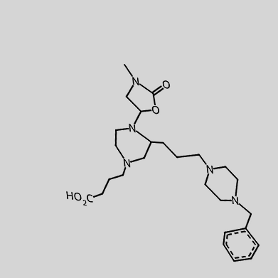 CN1CC(N2CCN(CCCC(=O)O)CC2CCCN2CCN(Cc3ccccc3)CC2)OC1=O